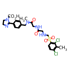 Cc1c(Cl)ccc(S(=O)(=O)CNCC(=O)NCC(=O)N(C)Cc2ccc(C3=NCCN3C(=O)O)cc2)c1Cl